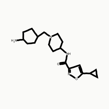 NC1CCC(CN2CCC(NC(=O)c3cc(C4CC4)on3)CC2)CC1